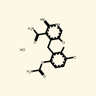 Cc1c(Cl)ccc(OC(N)=O)c1Cc1c(Cl)c[nH]c(=N)c1C(N)=O.Cl